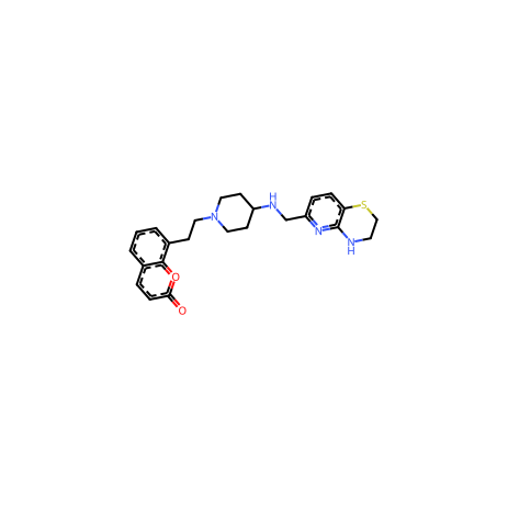 O=c1ccc2cccc(CCN3CCC(NCc4ccc5c(n4)NCCS5)CC3)c2o1